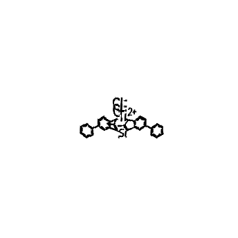 CC1=C2c3cc(-c4ccccc4)ccc3[CH]1[Ti+2][CH]1C(C)=C(c3cc(-c4ccccc4)ccc31)[Si]2(C)C.[Cl-].[Cl-]